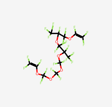 FC(F)=C(F)OC(F)(F)OC(F)(F)OC(F)(F)OC(F)(C(F)(F)F)C(F)(F)OC(F)(C(F)(F)F)C(F)(F)OC(F)=C(F)F